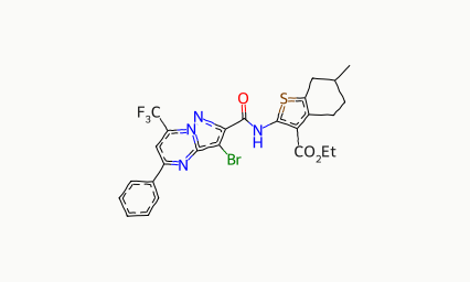 CCOC(=O)c1c(NC(=O)c2nn3c(C(F)(F)F)cc(-c4ccccc4)nc3c2Br)sc2c1CCC(C)C2